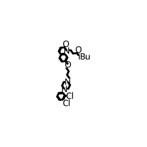 CCC(C)C(=O)CCn1c(=O)ccc2ccc(OCCCCN3CCN(c4cccc(Cl)c4Cl)CC3)cc21